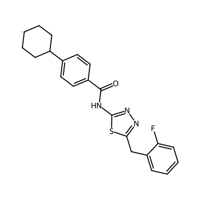 O=C(Nc1nnc(Cc2ccccc2F)s1)c1ccc(C2CC[CH]CC2)cc1